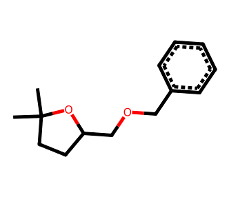 CC1(C)CCC(COCc2ccccc2)O1